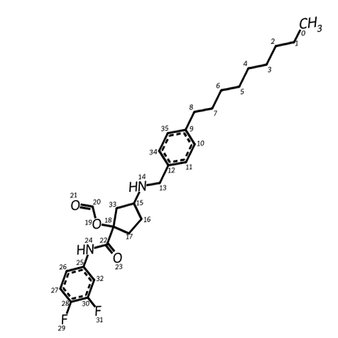 CCCCCCCCCc1ccc(CNC2CCC(OC=O)(C(=O)Nc3ccc(F)c(F)c3)C2)cc1